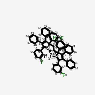 C[Si]1=C(c2cccc(F)c2)C(c2ccccc2)=C(c2ccccc2)C1(CCC1(c2cccc(F)c2)C(c2ccccc2)=C(c2ccccc2)C(c2cccc(F)c2)=[Si]1C)c1cccc(F)c1